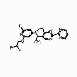 CC1c2cnc(-c3ncccn3)nc2CCN1c1cc(F)nc(OCC(F)F)c1